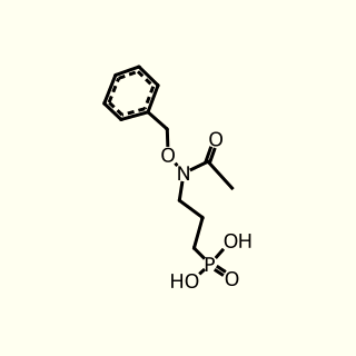 CC(=O)N(CCCP(=O)(O)O)OCc1ccccc1